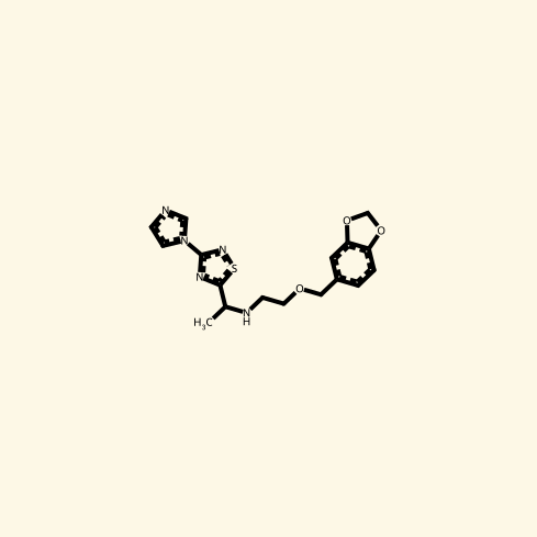 CC(NCCOCc1ccc2c(c1)OCO2)c1nc(-n2ccnc2)ns1